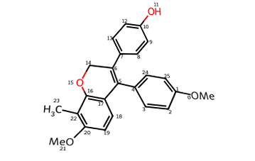 COc1ccc(C2=C(c3ccc(O)cc3)COc3c2ccc(OC)c3C)cc1